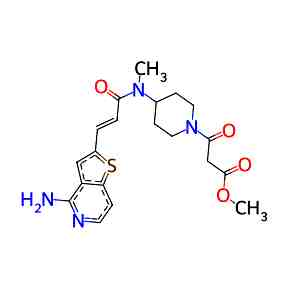 COC(=O)CC(=O)N1CCC(N(C)C(=O)/C=C/c2cc3c(N)nccc3s2)CC1